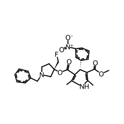 COC(=O)C1=C(C)NC(C)=C(C(=O)O[C@@]2(CF)CCN(Cc3ccccc3)C2)[C@@H]1c1cccc([N+](=O)[O-])c1